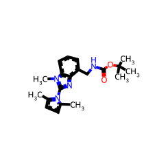 Cc1ccc(C)n1-c1nc2c(CNC(=O)OC(C)(C)C)cccc2n1C